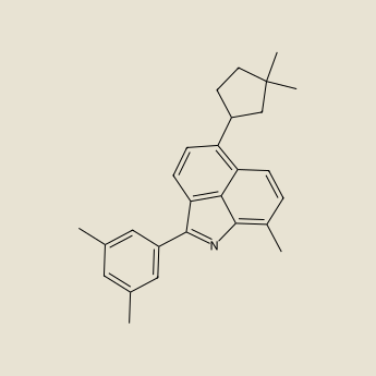 Cc1cc(C)cc(C2=Nc3c(C)ccc4c(C5CCC(C)(C)C5)ccc2c34)c1